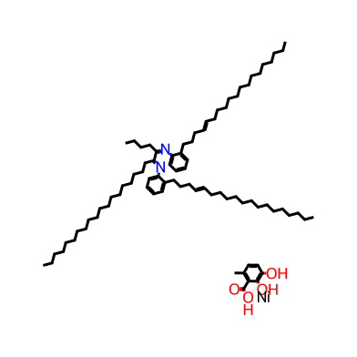 CCCCCCCCCCCCCCC=CCCCc1ccccc1N=C(CCCC)C(CCCCCCCCCCCCCCCCCCC)=Nc1ccccc1CCCC=CCCCCCCCCCCCCCC.Cc1ccc(O)c(O)c1C(=O)O.[Ni]